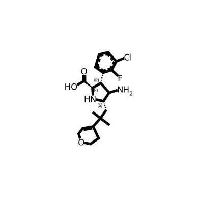 CC(C)(C[C@@H]1N[C@@H](C(=O)O)[C@H](c2cccc(Cl)c2F)C1N)C1=CCOCC1